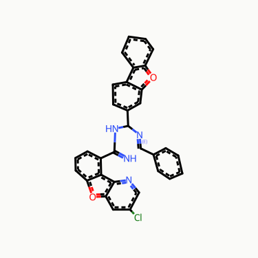 N=C(NC(/N=C/c1ccccc1)c1ccc2c(c1)oc1ccccc12)c1cccc2oc3cc(Cl)cnc3c12